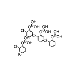 OB(O)Oc1ccccc1Cl.OB(O)Oc1ccccc1Cl.OB(O)Oc1ccccc1Cl.OB(O)Oc1ccccc1Cl.[K]